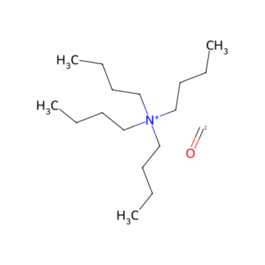 CCCC[N+](CCCC)(CCCC)CCCC.[C]=O